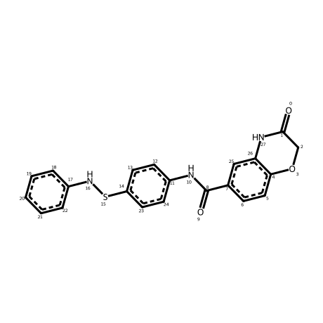 O=C1COc2ccc(C(=O)Nc3ccc(SNc4ccccc4)cc3)cc2N1